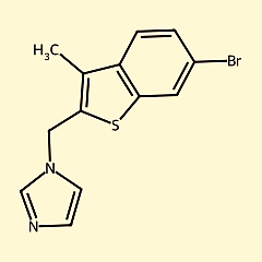 Cc1c(Cn2ccnc2)sc2cc(Br)ccc12